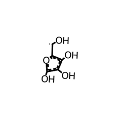 O[CH]c1oc(O)c(O)c1O